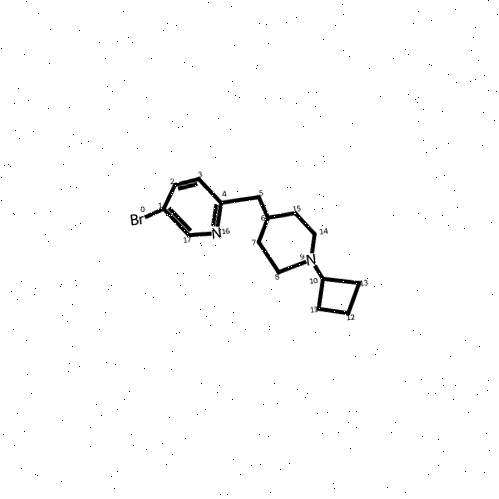 Brc1ccc(CC2CCN(C3CCC3)CC2)nc1